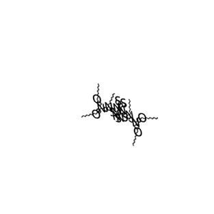 CCCCCCCCOc1ccc(N(c2ccc(OCCCCCCCC)cc2)c2ccc3c4sc(-c5c6nsnc6c(-c6cc7c(s6)c6ccc(N(c8ccc(OCCCCCCCC)cc8)c8ccc(OCCCCCCCC)cc8)cc6n7CCCCCCCC)c6nc7c8ccsc8c8sccc8c7nc56)cc4n(CCCCCCCC)c3c2)cc1